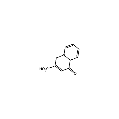 O=C(O)C1=CC(=O)C2C=CC=CN2C1